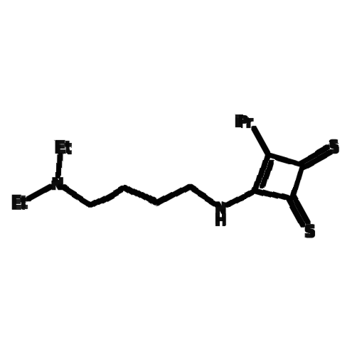 CCN(CC)CCCCNc1c(C(C)C)c(=S)c1=S